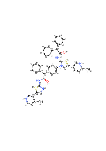 Cc1ccc(-c2c[n+](-c3ccc(C(C(=O)Nc4ncc(-c5cnccc5C)s4)c4ccccc4)cc3)c(NC(=O)C(c3ccccc3)c3ccccc3)s2)cn1